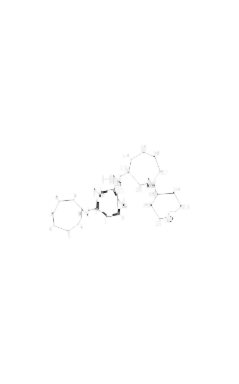 c1cc(N2CCCCCC2)nc(NC2CCCCN(C3CCSCC3)C2)n1